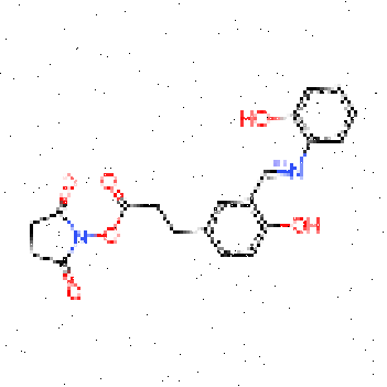 O=C(CCc1ccc(O)c(/C=N/c2ccccc2O)c1)ON1C(=O)CCC1=O